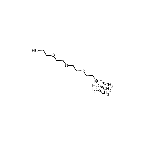 C=C.C=C.C=C.OCCOCCOCCOCCO